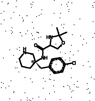 CC1(C)NC(C(=O)N[C@@]2(Cc3ccc(Cl)cc3)CCCNC2)CO1